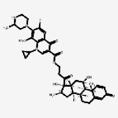 COc1c(N2CCNC(C)C2)c(F)cc2c(=O)c(C(=O)OC[CH]C(=O)[C@]3(O)[C@H](C)C[C@@H]4[C@H]5CCC6=CC(=O)C=C[C@@]6(C)[C@]5(F)[C@H](O)C[C@]43C)cn(C3CC3)c12